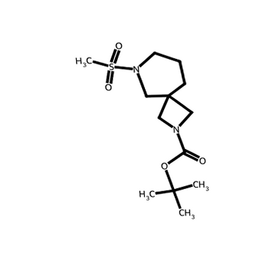 CC(C)(C)OC(=O)N1CC2(CCCN(S(C)(=O)=O)C2)C1